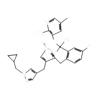 CCn1cc(Cc2cnn(CC3CC3)c2)c(Cc2ccc(F)cc2C(C)(C)Oc2cc(Br)cnc2[N+](=O)[O-])n1